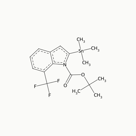 CC(C)(C)OC(=O)n1[c]([Sn]([CH3])([CH3])[CH3])cc2cccc(C(F)(F)F)c21